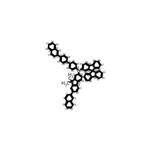 CC1(C)c2cc(-c3ccc4ccccc4c3)ccc2-c2ccc(N(c3ccc(-c4ccc(-c5ccc6ccccc6c5)cc4)cc3)c3ccc4c(c3)C3(c5ccccc5-c5ccccc53)c3ccccc3-4)cc21